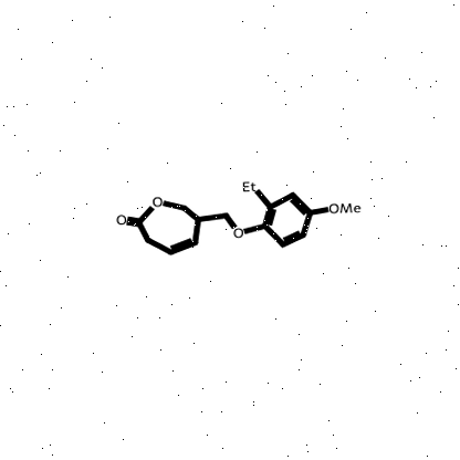 CCc1cc(OC)ccc1OCC1C=CCC(=O)OC1